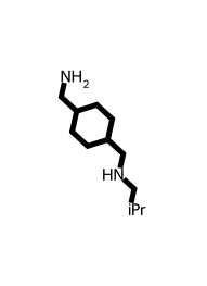 CC(C)CNCC1CCC(CN)CC1